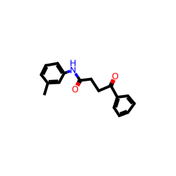 Cc1cccc(NC(=O)CCC(=O)c2ccccc2)c1